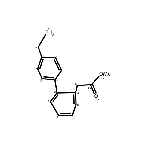 BCc1ccc(-c2ccccc2CC(=O)OC)cc1